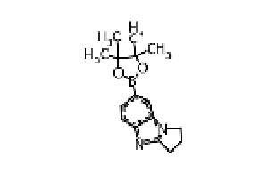 CC1(C)OB(c2ccc3nc4n(c3c2)CCC4)OC1(C)C